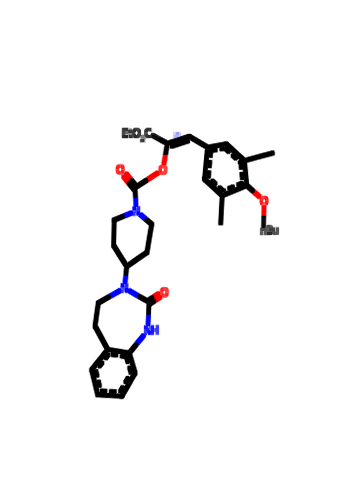 CCCCOc1c(C)cc(/C=C(\OC(=O)N2CCC(N3CCc4ccccc4NC3=O)CC2)C(=O)OCC)cc1C